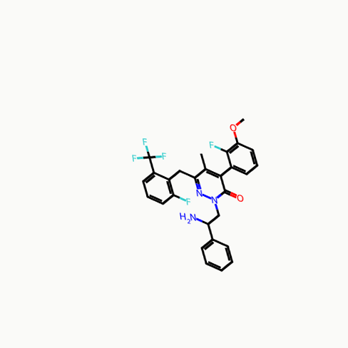 COc1cccc(-c2c(C)c(Cc3c(F)cccc3C(F)(F)F)nn(CC(N)c3ccccc3)c2=O)c1F